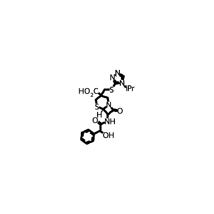 CC(C)n1cnnc1SCC1(C(=O)O)CS[C@@H]2C(NC(=O)C(O)c3ccccc3)C(=O)N2C1